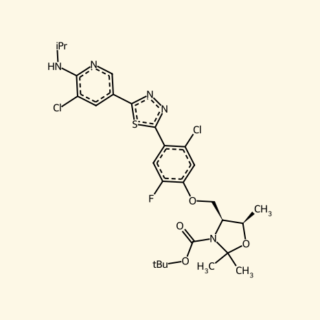 CC(C)Nc1ncc(-c2nnc(-c3cc(F)c(OC[C@H]4[C@@H](C)OC(C)(C)N4C(=O)OC(C)(C)C)cc3Cl)s2)cc1Cl